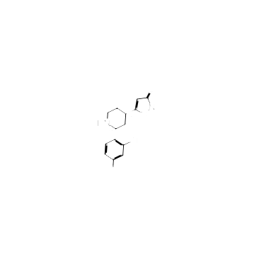 O=c1cc([C@@H]2CCN[C@@H](c3ccc(F)cc3Cl)C2)o[nH]1